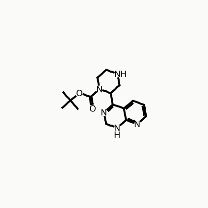 CC(C)(C)OC(=O)N1CCNCC1C1=NCNc2ncccc21